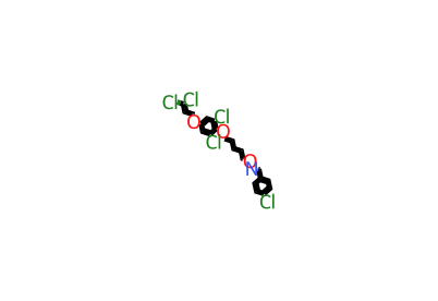 ClC(Cl)=CCOc1cc(Cl)c(OCCCCCO/N=C/c2ccc(Cl)cc2)c(Cl)c1